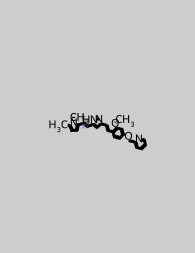 COc1cc(OCc2ccccn2)ccc1C=Cc1cc(/C=C/c2ccc(C)n2C)[nH]n1